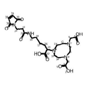 O=C(O)CN1CCN(CC(=O)O)CCN(C(CCCCNC(=O)CCN2C(=O)C=CC2=O)C(=O)O)CC1